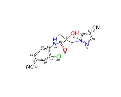 CC(O)(Cn1cc(C#N)cn1)C(=O)Nc1ccc(C#N)cc1Cl